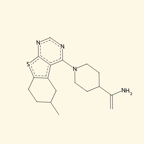 C=C(N)C1CCN(c2ncnc3sc4c(c23)CC(C)CC4)CC1